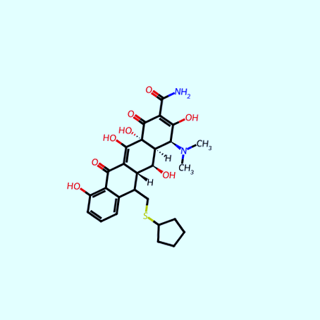 CN(C)[C@@H]1C(O)=C(C(N)=O)C(=O)[C@]2(O)C(O)=C3C(=O)c4c(O)cccc4C(CSC4CCCC4)[C@H]3[C@H](O)[C@H]12